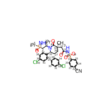 CC(C)C(CS(=N)(=O)C(C)C)N1C(=O)[C@@](C)(CC(=O)NS(=O)(=O)c2ccc(C#N)cc2)C[C@H](c2cccc(Cl)c2)[C@H]1c1ccc(Cl)cc1